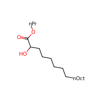 CCCCCCCCCCCCCCC(O)C(=O)OCCC